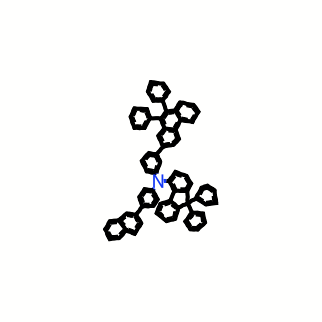 c1ccc(-c2c(-c3ccccc3)c3cc(-c4cccc(N(c5ccc(-c6ccc7ccccc7c6)cc5)c5cccc6c5-c5ccccc5C6(c5ccccc5)c5ccccc5)c4)ccc3c3ccccc23)cc1